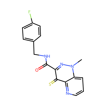 Cn1nc(C(=O)NCc2ccc(F)cc2)c(=S)c2ncccc21